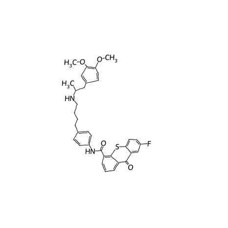 COc1ccc(CC(C)NCCCCc2ccc(NC(=O)c3cccc4c(=O)c5cc(F)ccc5sc34)cc2)cc1OC